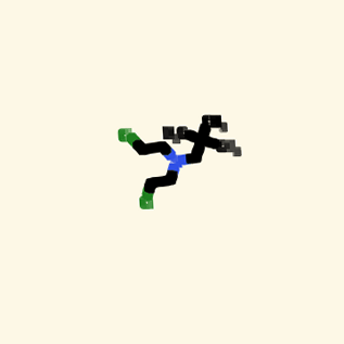 CC(C)(C)CN(CCCl)CCCl